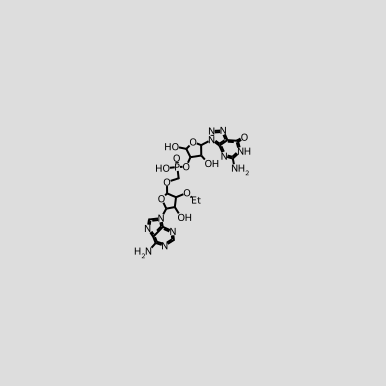 CCOC1C(OCP(=O)(O)OC2C(O)OC(n3nnc4c(=O)[nH]c(N)nc43)C2O)OC(n2cnc3c(N)ncnc32)C1O